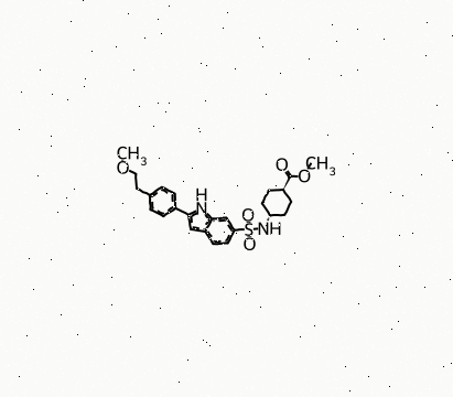 COCCc1ccc(-c2cc3ccc(S(=O)(=O)N[C@H]4CC[C@H](C(=O)OC)CC4)cc3[nH]2)cc1